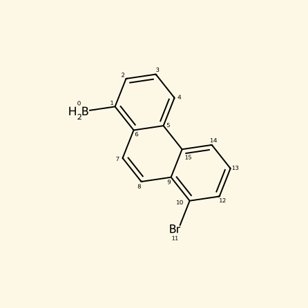 Bc1cccc2c1ccc1c(Br)cccc12